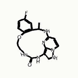 CC1NC2=NC3=C(CNN3C=C2)NC(=O)NCCOc2ccc(F)cc21